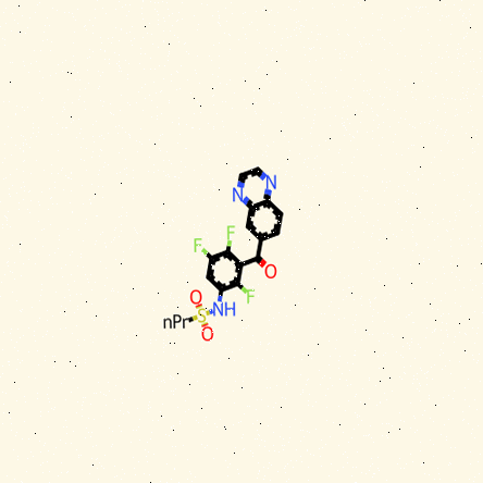 CCCS(=O)(=O)Nc1cc(F)c(F)c(C(=O)c2ccc3nccnc3c2)c1F